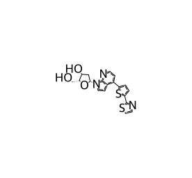 OC[C@H]1O[C@@H](n2ccc3c(-c4ccc(-c5nccs5)s4)ccnc32)C[C@H]1O